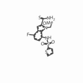 COCn1c(C(N)=S)cc2c(F)ccc(NS(=O)(=O)c3cccs3)c21